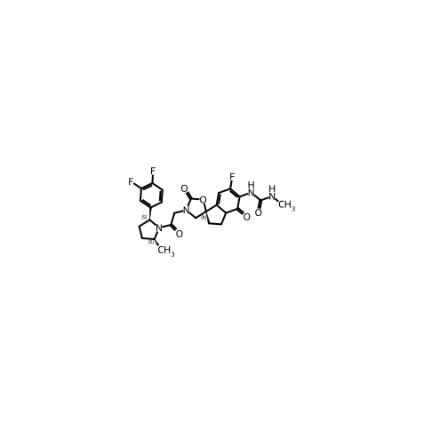 CNC(=O)NC1=C(F)C=C2C(CC[C@]23CN(CC(=O)N2[C@@H](C)CC[C@H]2c2ccc(F)c(F)c2)C(=O)O3)C1=O